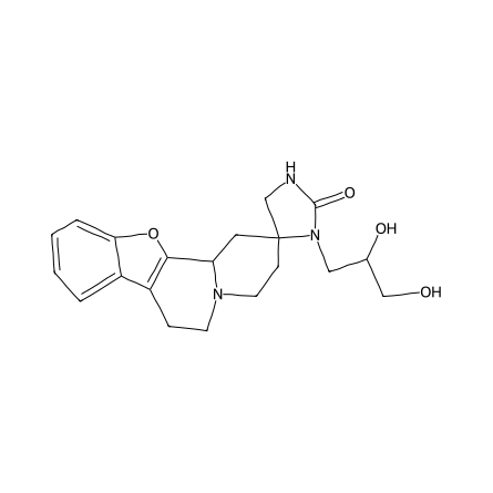 O=C1NCC2(CCN3CCc4c(oc5ccccc45)C3C2)N1CC(O)CO